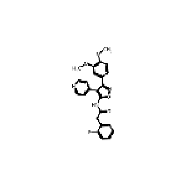 COc1ccc(-c2noc(NC(=O)Cc3ccccc3F)c2-c2ccncc2)cc1OC